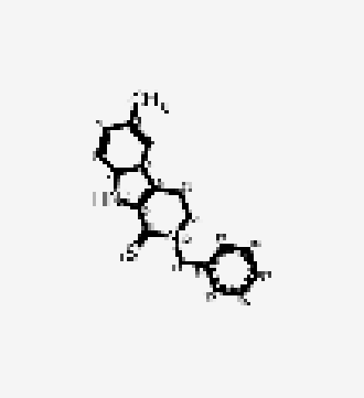 CC1=CC2C3=C(NC2C=C1)C(=S)N(Cc1ccccc1)CC3